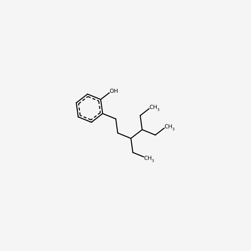 CCC(CC)C(CC)CCc1ccccc1O